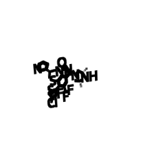 C[C@@H]1CN(c2nc(=O)n3c4c(c(-c5cc(Cl)cs5)c(C(F)(F)F)cc24)SC[C@@H](c2cccnc2)C3)C[C@H](C)N1